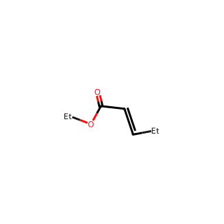 [CH2]CC=CC(=O)OCC